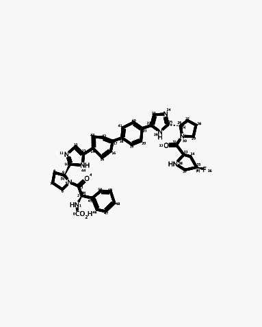 O=C(O)N[C@@H](C(=O)N1CCC[C@H]1c1ncc(-c2ccc(-c3ccc(-c4cnc([C@@H]5CCCN5C(=O)C5C[C@@H](F)CN5)[nH]4)cc3)cc2)[nH]1)c1ccccc1